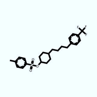 Cc1ccc(S(=O)(=O)OC2CCC(CCCCc3ccc(C(F)(F)F)cc3)CC2)cc1